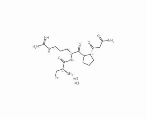 CC(C)C[C@H](N)C(=O)N[C@@H](CCCNC(=N)N)C(=O)N1CCC[C@H]1C(=O)CC(N)=O.Cl.Cl